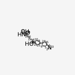 CN(C)Cc1ccc(-c2ccc([C@H](O)CCCCC(=O)NO)cc2)cc1